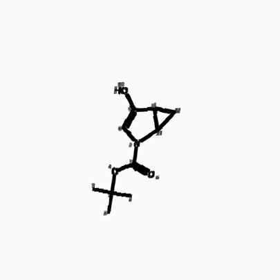 CC(C)(C)OC(=O)N1C=C(O)C2CC21